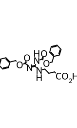 O=C(O)CCCNC(=NC(=O)OCc1ccccc1)NC(=O)OCc1ccccc1